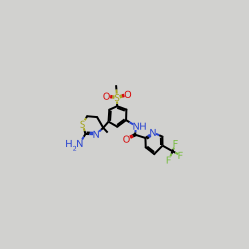 CC1(c2cc(NC(=O)c3ccc(C(F)(F)F)cn3)cc(S(C)(=O)=O)c2)CCSC(N)=N1